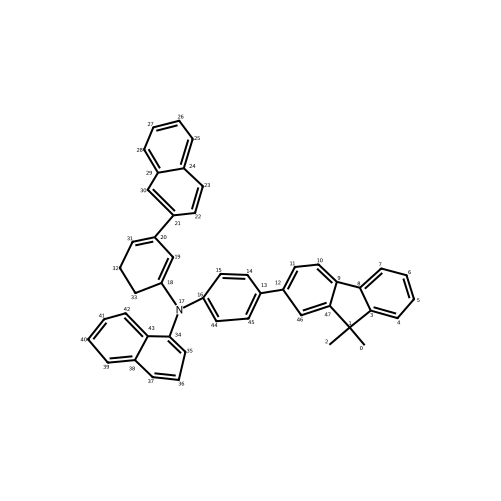 CC1(C)c2ccccc2-c2ccc(-c3ccc(N(C4=CC(c5ccc6ccccc6c5)=CCC4)c4cccc5ccccc45)cc3)cc21